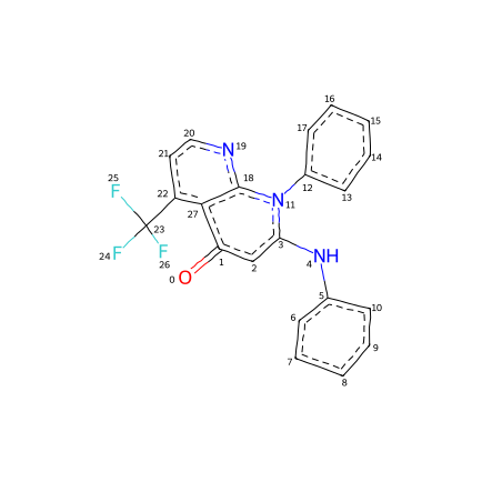 O=c1cc(Nc2ccccc2)n(-c2ccccc2)c2nccc(C(F)(F)F)c12